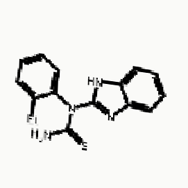 CCc1ccccc1N(C(N)=S)c1nc2ccccc2[nH]1